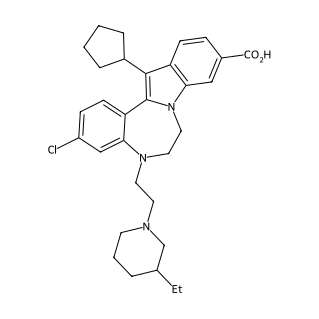 CCC1CCCN(CCN2CCn3c(c(C4CCCC4)c4ccc(C(=O)O)cc43)-c3ccc(Cl)cc32)C1